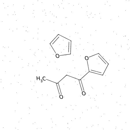 CC(=O)CC(=O)c1ccco1.c1ccoc1